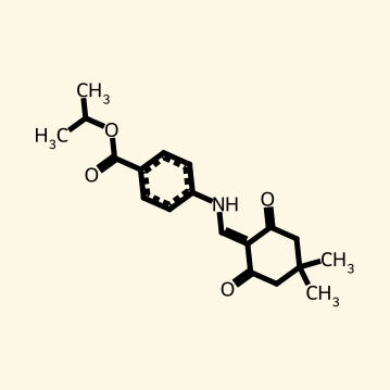 CC(C)OC(=O)c1ccc(NC=C2C(=O)CC(C)(C)CC2=O)cc1